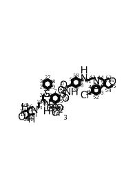 O=C(NS(=O)(=O)c1ccc(N[C@H](CCN2C[C@H]3COC[C@H]3C2)CSc2ccccc2)c(S(=O)(=O)C(F)(F)F)c1)c1ccc(NCCNCC2=C(c3ccc(Cl)cc3)CCOC2)cc1